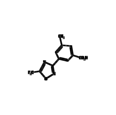 Cc1cc(C(=O)O)cc(-c2noc(C(F)(F)F)n2)c1